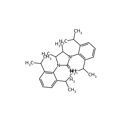 CC(C)c1cccc(C(C)C)c1N1C(=N)N(c2c(C(C)C)cccc2C(C)C)C(C)C1C